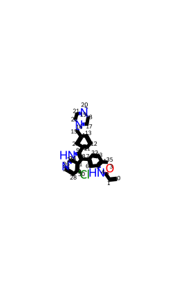 C=CC(=O)Nc1cc(-c2c(-c3cccc(CN4CCN(C)CC4)c3)[nH]c3nccc(Cl)c23)ccc1C